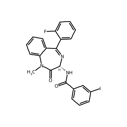 CN1C(=O)[C@@H](NC(=O)c2cccc(I)c2)N=C(c2ccccc2F)c2ccccc21